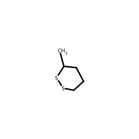 C[C]1CCCSS1